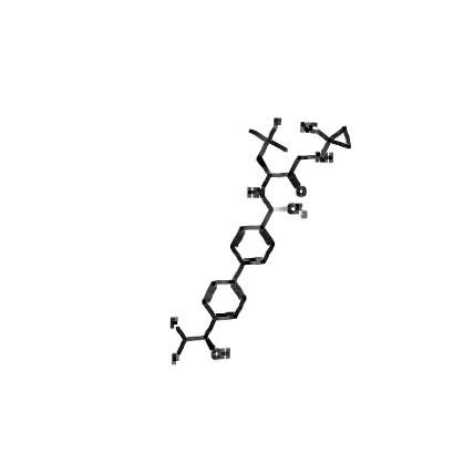 CC(C)(F)C[C@H](N[C@@H](c1ccc(-c2ccc([C@@H](O)C(F)F)cc2)cc1)C(F)(F)F)C(=O)CNC1(C#N)CC1